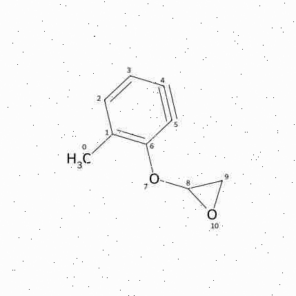 Cc1ccc#cc1OC1CO1